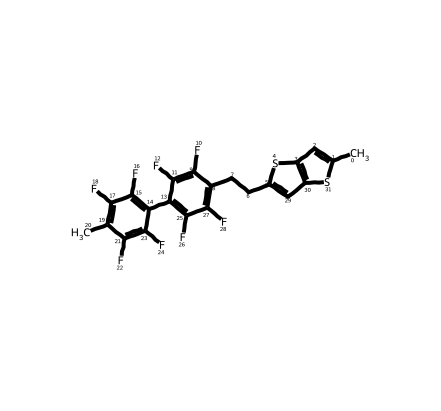 Cc1cc2sc(CCc3c(F)c(F)c(-c4c(F)c(F)c(C)c(F)c4F)c(F)c3F)cc2s1